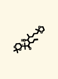 C=CCC(C(=O)C(C)(C)[C@@H]1CCOC(C)(C)O1)C(O)C(C)CCCC1(C)OCCO1